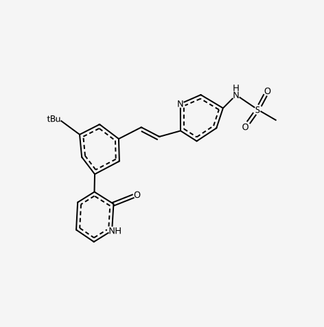 CC(C)(C)c1cc(C=Cc2ccc(NS(C)(=O)=O)cn2)cc(-c2ccc[nH]c2=O)c1